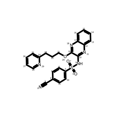 N#Cc1ccc(S(=O)(=O)Nc2nc3ccccc3nc2OCCCc2ccccn2)cc1